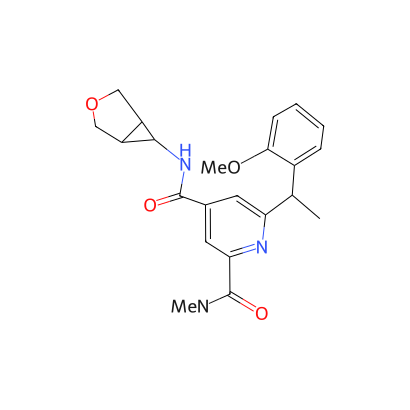 CNC(=O)c1cc(C(=O)NC2C3COCC32)cc(C(C)c2ccccc2OC)n1